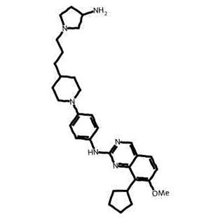 COc1ccc2cnc(Nc3ccc(N4CCC(CCCN5CCC(N)C5)CC4)cc3)nc2c1C1CCCC1